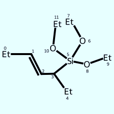 CCC=CC(CC)[Si](OCC)(OCC)OCC